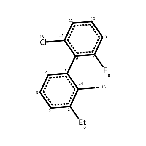 CCc1cccc(-c2c(F)cccc2Cl)c1F